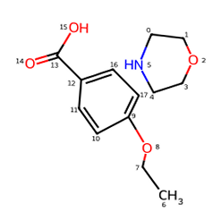 C1COCCN1.CCOc1ccc(C(=O)O)cc1